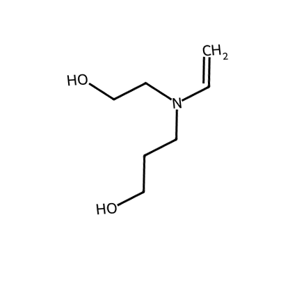 C=CN(CCO)CCCO